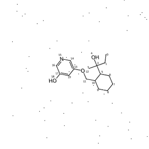 CCC(C)(O)C1CCCCC1COc1cncc(O)c1